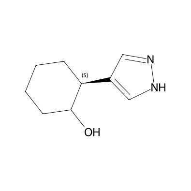 OC1CCCC[C@H]1c1cn[nH]c1